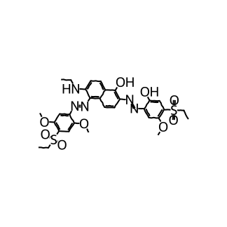 CCNc1ccc2c(O)c(/N=N/c3cc(OC)c(S(=O)(=O)CC)cc3O)ccc2c1/N=N/c1cc(OC)c(S(=O)(=O)CC)cc1OC